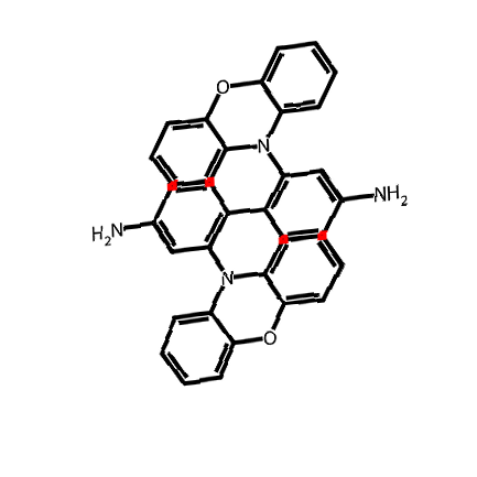 Nc1ccc(-c2ccc(N)cc2N2c3ccccc3Oc3ccccc32)c(N2c3ccccc3Oc3ccccc32)c1